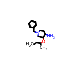 C=CCC(C)OC1CN(Cc2ccccc2)CCC1N